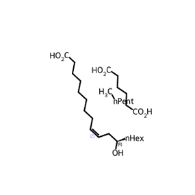 CCCCCC.CCCCCC[C@@H](O)C/C=C\CCCCCCCC(=O)O.O=C(O)CCCCC(=O)O